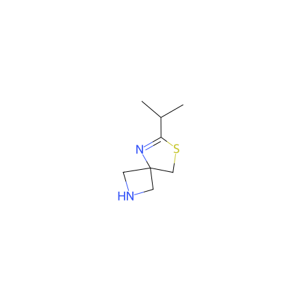 CC(C)C1=NC2(CNC2)CS1